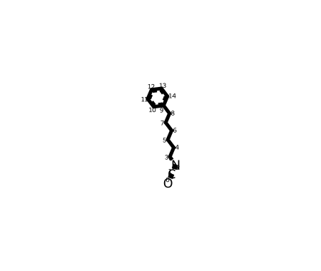 O=C=N[CH]CCCCCc1ccccc1